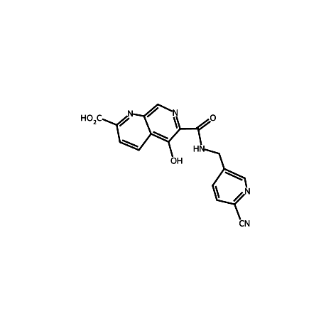 N#Cc1ccc(CNC(=O)c2ncc3nc(C(=O)O)ccc3c2O)cn1